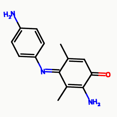 CC1=CC(=O)C(N)=C(C)C1=Nc1ccc(N)cc1